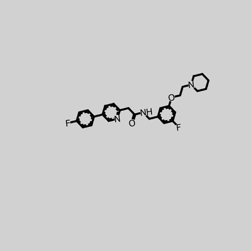 O=C(Cc1ccc(-c2ccc(F)cc2)cn1)NCc1cc(F)cc(OCCN2CCCCC2)c1